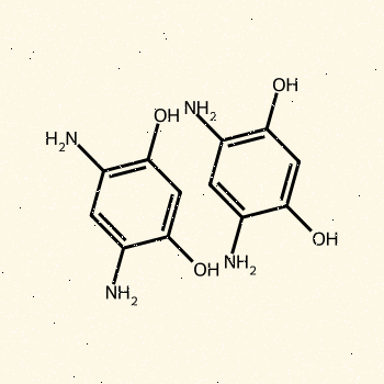 Nc1cc(N)c(O)cc1O.Nc1cc(N)c(O)cc1O